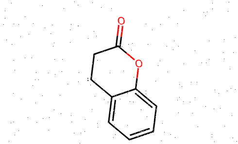 O=C1C[C]c2ccccc2O1